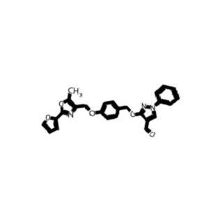 Cc1oc(-c2ccco2)nc1COc1ccc(COc2nn(-c3ccccc3)cc2C=O)cc1